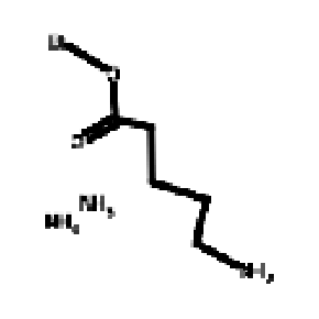 CCOC(=O)CCCCN.N.N